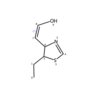 CCC1SC=NC1/C=C\O